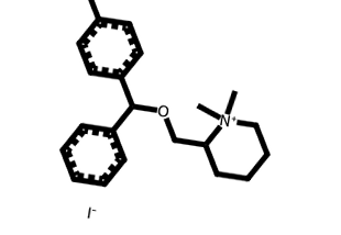 Cc1ccc(C(OCC2CCCC[N+]2(C)C)c2ccccc2)cc1.[I-]